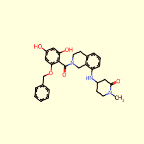 CN1CCC(Nc2cccc3c2CN(C(=O)c2c(O)cc(O)cc2OCc2ccccc2)CC3)CC1=O